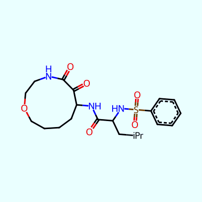 CC(C)CC(NS(=O)(=O)c1ccccc1)C(=O)NC1CCCCOCCNC(=O)C1=O